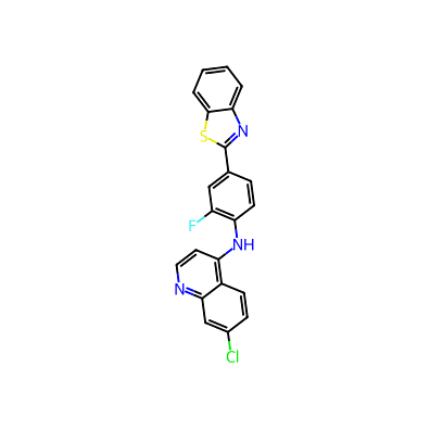 Fc1cc(-c2nc3ccccc3s2)ccc1Nc1ccnc2cc(Cl)ccc12